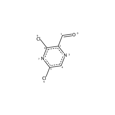 O=Cc1ncc(Cl)nc1Cl